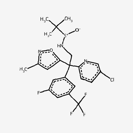 Cc1cc(C(CN[S+]([O-])C(C)(C)C)(c2cc(F)cc(C(F)(F)F)c2)c2ccc(Cl)cn2)on1